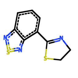 c1cc(C2=NCCS2)c2nsnc2c1